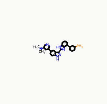 CN(C)c1cncc(-c2ccc3[nH]nc(-c4nc5c(-c6cccc(P)c6)cccc5[nH]4)c3c2)c1